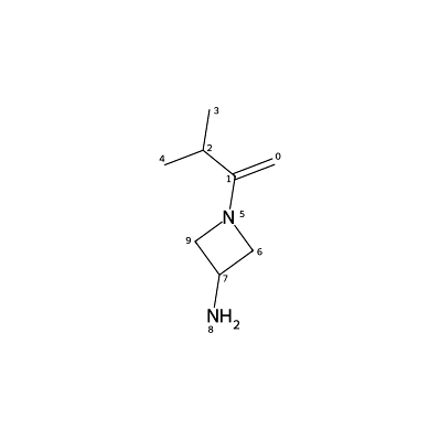 C=C(C(C)C)N1CC(N)C1